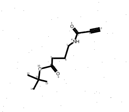 C#CC(=O)NCCCC(=O)OC(C)(C)C